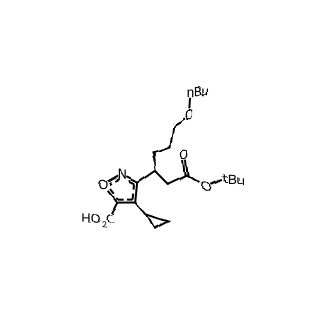 CCCCOCCC[C@@H](CC(=O)OC(C)(C)C)c1noc(C(=O)O)c1C1CC1